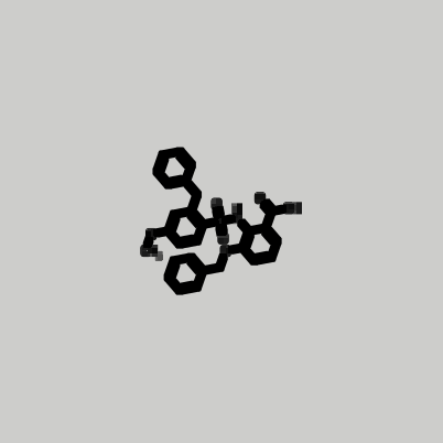 COc1ccc(S(=O)(=O)Nc2c(OCc3ccccc3)cccc2C(=O)O)c(Cc2ccccc2)c1